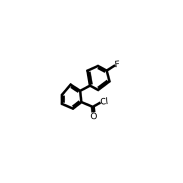 O=C(Cl)c1ccccc1-c1ccc(F)cc1